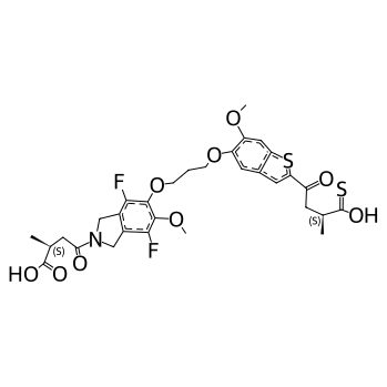 COc1cc2sc(C(=O)C[C@H](C)C(O)=S)cc2cc1OCCCOc1c(F)c2c(c(F)c1OC)CN(C(=O)C[C@H](C)C(=O)O)C2